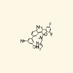 CC[C@H](N)CN(C)C(=O)c1c(-c2cc(F)cc(F)c2)cnc2ccc(-c3cc(O)cc(C#N)c3)cc12